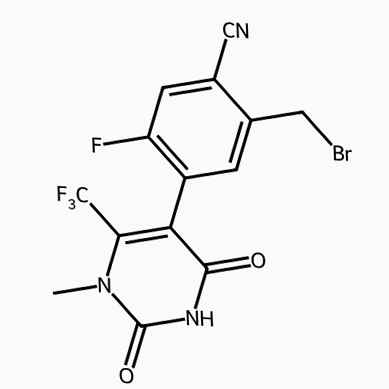 Cn1c(C(F)(F)F)c(-c2cc(CBr)c(C#N)cc2F)c(=O)[nH]c1=O